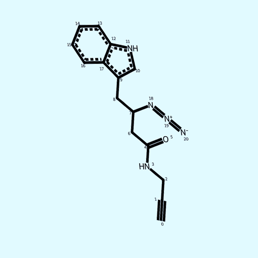 C#CCNC(=O)CC(Cc1c[nH]c2ccccc12)N=[N+]=[N-]